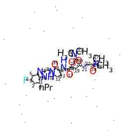 CCCc1cc(F)cc2nc(Cn3cccc(NC(=O)[C@H](CC/C=C/C(=O)N(C)C)OC(=O)N(C)C)c3=O)[nH]c12